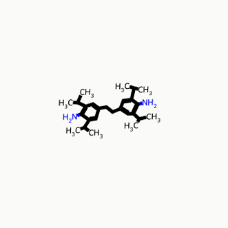 CC(C)c1cc(CCc2cc(C(C)C)c(N)c(C(C)C)c2)cc(C(C)C)c1N